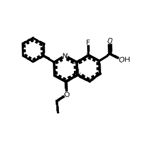 CCOc1cc(-c2ccccc2)nc2c(F)c(C(=O)O)ccc12